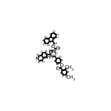 Cc1ccc(C(=O)Oc2ccc([C@@H](CNC(=O)OCC3c4ccccc4-c4ccccc43)NC(=O)c3ccc4cnccc4c3)cc2)c(C)c1